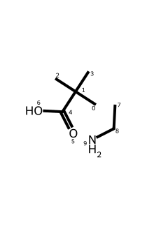 CC(C)(C)C(=O)O.CCN